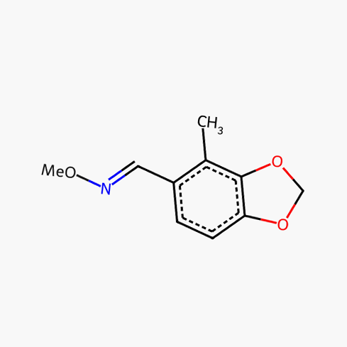 CO/N=C/c1ccc2c(c1C)OCO2